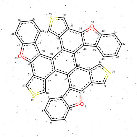 c1ccc2c(c1)oc1c3cscc3c3c(c21)c1c2cscc2c2oc4ccccc4c2c1c1c2cscc2c2oc4ccccc4c2c31